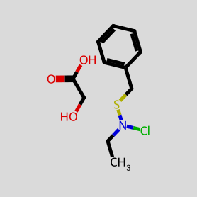 CCN(Cl)SCc1ccccc1.O=C(O)CO